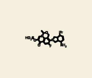 CC(C)C1C=CC(N)C2CN(c3c(F)cc4c(=O)c(OC(=O)O)cn5c4c3COC5C)CC12